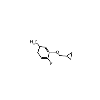 CC1C=C(OCC2CC2)C(F)=CC1